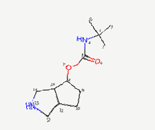 CC(C)(C)NC(=O)OC1CCC2CNCC21